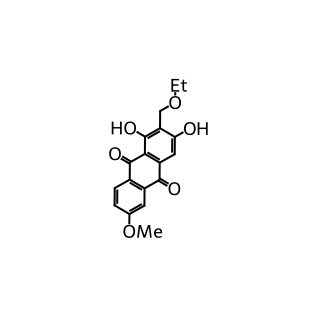 CCOCc1c(O)cc2c(c1O)C(=O)c1ccc(OC)cc1C2=O